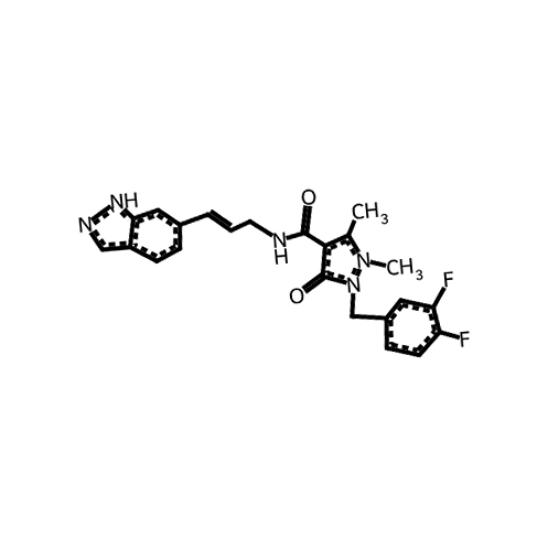 Cc1c(C(=O)NCC=Cc2ccc3cn[nH]c3c2)c(=O)n(Cc2ccc(F)c(F)c2)n1C